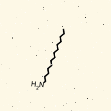 CCCCCCCCCCCC[CH]CN